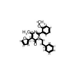 COc1ccccc1-c1nc(C)c(-c2ccco2)c(=O)n1CCc1ccccc1